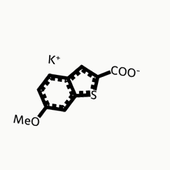 COc1ccc2cc(C(=O)[O-])sc2c1.[K+]